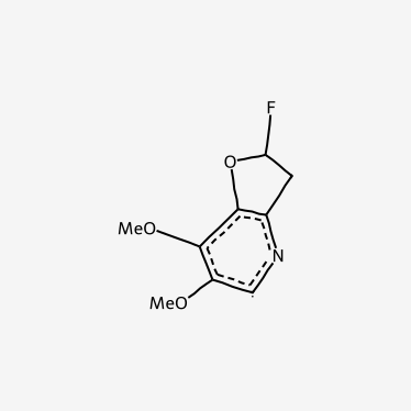 COc1[c]nc2c(c1OC)OC(F)C2